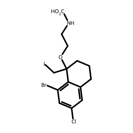 O=C(O)NCCOC1(CI)CCCc2cc(Cl)cc(Br)c21